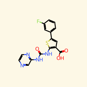 O=C(Nc1cnccn1)Nc1sc(-c2cccc(F)c2)cc1C(=O)O